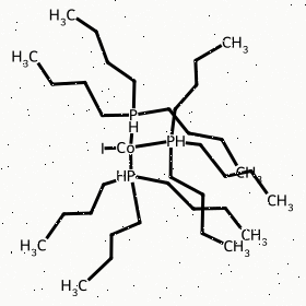 CCCC[PH](CCCC)(CCCC)[Co]([I])([PH](CCCC)(CCCC)CCCC)[PH](CCCC)(CCCC)CCCC